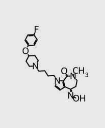 CN1CCC(=NO)c2ccn(CCCCN3CCC(Oc4ccc(F)cc4)CC3)c2C1=O